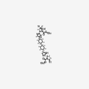 CC[C@@H]1CC[C@@H](c2ncc(-c3ccc(-c4ccc(-c5cnc([C@@H]6C[C@H]7C[C@H]7N6C(=O)OC(C)(C)C)[nH]5)cc4)cc3)[nH]2)N1C(=O)OC(C)(C)C